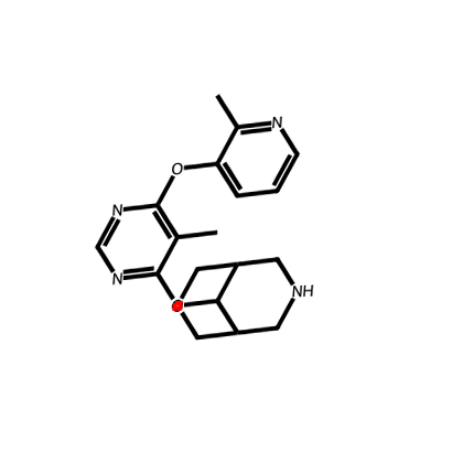 Cc1ncccc1Oc1ncnc(OC2C3CNCC2COC3)c1C